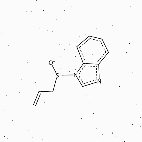 C=CC[S+]([O-])n1cnc2ccccc21